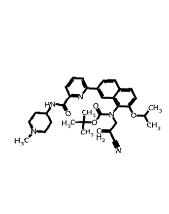 C=C(C#N)CN(C(=O)OC(C)(C)C)c1c(OC(C)C)ccc2ccc(-c3cccc(C(=O)NC4CCN(C)CC4)n3)cc12